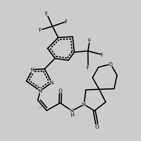 O=C(/C=C\n1cnc(-c2cc(C(F)(F)F)cc(C(F)(F)F)c2)n1)NN1CC2(CCOCC2)CC1=O